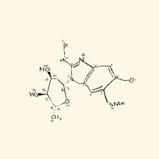 CSc1cc2c(cc1Cl)nc(NC(C)C)n2[C@@H]1O[C@H](C)[C@@H](O)[C@H]1O